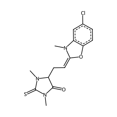 CN1C(=O)C(CC=C2Oc3ccc(Cl)cc3N2C)N(C)C1=S